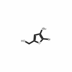 CC(C)(C)c1cc(CO)oc1Br